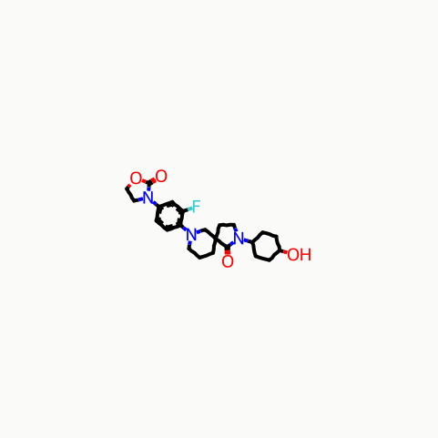 O=C1OCCN1c1ccc(N2CCCC3(CCN(C4CCC(O)CC4)C3=O)C2)c(F)c1